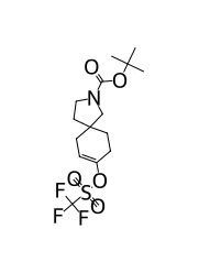 CC(C)(C)OC(=O)N1CCC2(CC=C(OS(=O)(=O)C(F)(F)F)CC2)C1